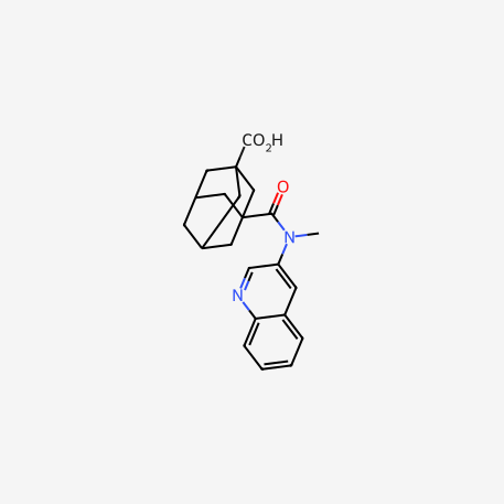 CN(C(=O)C12CC3CC(CC(C(=O)O)(C3)C1)C2)c1cnc2ccccc2c1